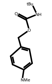 CNc1ccc(COC(=O)NC(C)(C)C)cc1